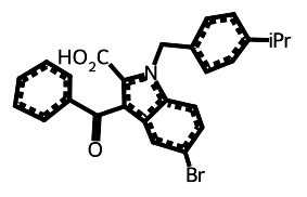 CC(C)c1ccc(Cn2c(C(=O)O)c(C(=O)c3ccccc3)c3cc(Br)ccc32)cc1